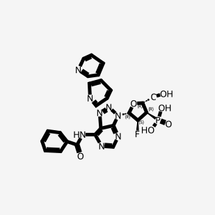 O=C(Nc1ncnc2c1nnn2[C@@H]1O[C@H](CO)[C@@H](P(=O)(O)O)[C@H]1F)c1ccccc1.c1ccncc1.c1ccncc1